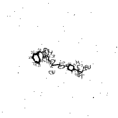 CC(C)C(C)(CC(C)(C)C)c1ccc(OCCOCC[N+](C)(C)Cc2ccccc2)cc1.[Cl-]